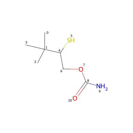 CC(C)(C)C(S)COC(N)=O